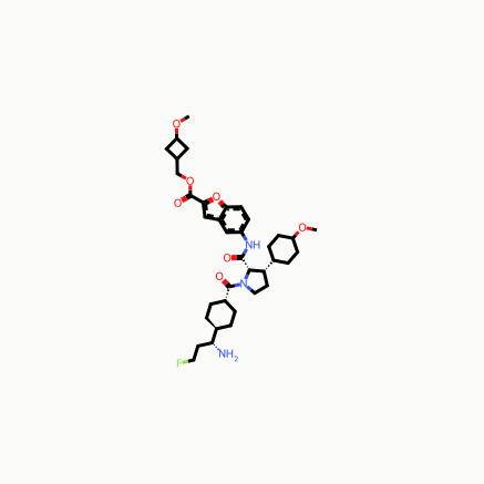 COC1CCC([C@@H]2CCN(C(=O)[C@H]3CC[C@H]([C@H](N)CCF)CC3)[C@@H]2C(=O)Nc2ccc3oc(C(=O)OCC4CC(OC)C4)cc3c2)CC1